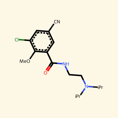 COc1c(Cl)cc(C#N)cc1C(=O)NCCN(C(C)C)C(C)C